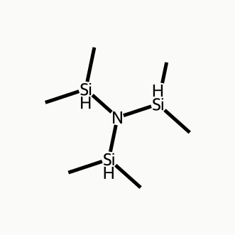 C[SiH](C)N([SiH](C)C)[SiH](C)C